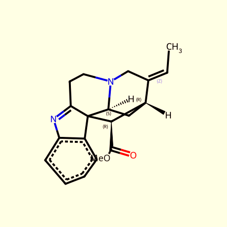 C/C=C1\CN2CCC3=Nc4ccccc4C34[C@H](C(=O)OC)[C@H]1C[C@H]24